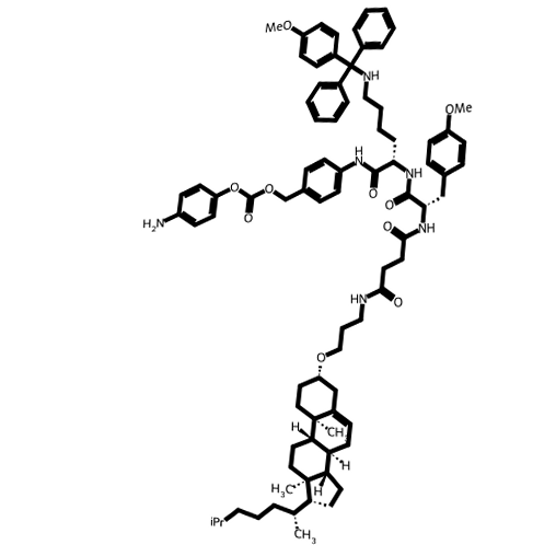 COc1ccc(C[C@H](NC(=O)CCC(=O)NCCCO[C@H]2CC[C@@]3(C)C(=CC[C@H]4[C@@H]5CC[C@H]([C@H](C)CCCC(C)C)[C@@]5(C)CC[C@@H]43)C2)C(=O)N[C@@H](CCCCNC(c2ccccc2)(c2ccccc2)c2ccc(OC)cc2)C(=O)Nc2ccc(COC(=O)Oc3ccc(N)cc3)cc2)cc1